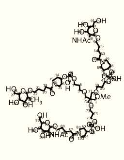 COCC(COCCCOP(=O)(O)OC1CCN(C(=O)CCCCOC2OC(CO)C(O)C(O)C2C)CC1)(COCCCOP(=O)(O)OC1CCN(C(=O)CCCCOC2OC(CO)C(O)C(O)C2NC(C)=O)CC1)COCCCOP(=O)(O)OC1CCN(C(=O)CCCCOC2OC(CO)C(O)C(O)C2NC(C)=O)CC1